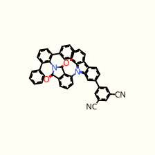 N#Cc1cc(C#N)cc(-c2ccc3c4ccccc4n(-c4cccc5c4C(=O)N(c4c(-c6ccccc6)cccc4-c4ccccc4)C5=O)c3c2)c1